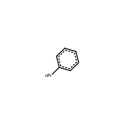 CCCc1c[c]ccc1